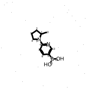 CC1CCCN1c1ccc(B(O)O)cn1